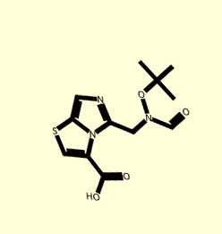 CC(C)(C)ON(C=O)Cc1ncc2scc(C(=O)O)n12